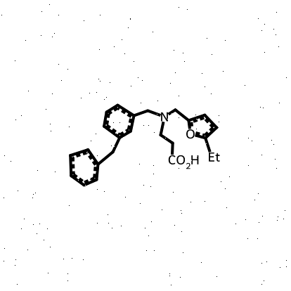 CCc1ccc(CN(CCC(=O)O)Cc2cccc(Cc3ccccc3)c2)o1